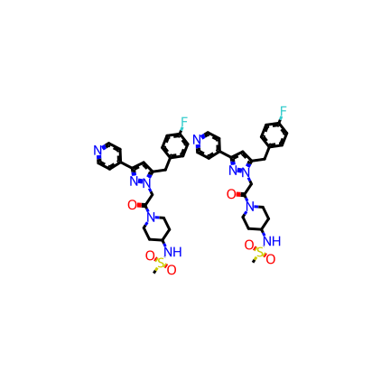 CS(=O)(=O)NC1CCN(C(=O)Cn2nc(-c3ccncc3)cc2Cc2ccc(F)cc2)CC1.CS(=O)(=O)NC1CCN(C(=O)Cn2nc(-c3ccncc3)cc2Cc2ccc(F)cc2)CC1